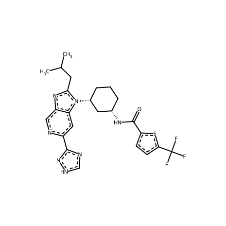 CC(C)Cc1nc2cnc(-c3nc[nH]n3)cc2n1[C@@H]1CCC[C@H](NC(=O)c2ccc(C(F)(F)F)s2)C1